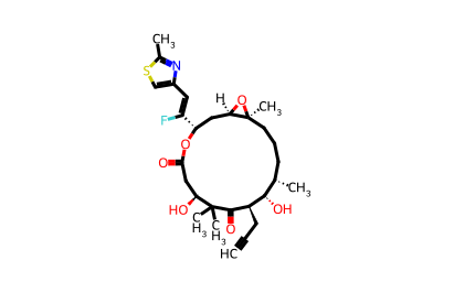 C#CC[C@H]1C(=O)C(C)(C)[C@@H](O)CC(=O)O[C@H](C(F)=Cc2csc(C)n2)C[C@H]2O[C@@]2(C)CCC[C@H](C)[C@@H]1O